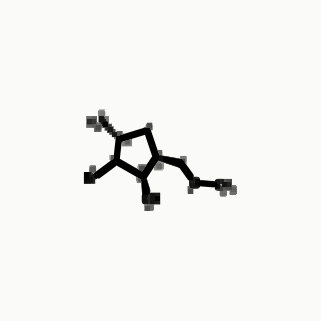 COC[C@@H]1C[C@@H](N)C(Br)[C@@H]1O